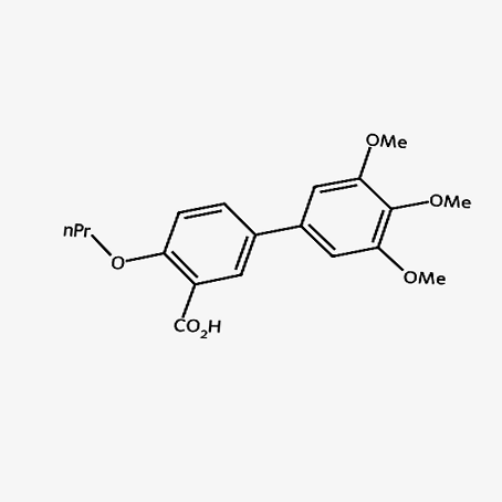 CCCOc1ccc(-c2cc(OC)c(OC)c(OC)c2)cc1C(=O)O